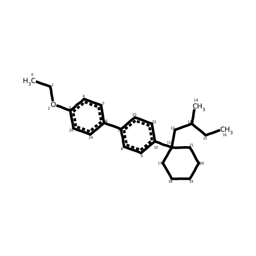 CCOc1ccc(-c2ccc(C3(CC(C)CC)CCCCC3)cc2)cc1